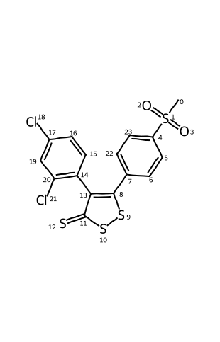 CS(=O)(=O)c1ccc(-c2ssc(=S)c2-c2ccc(Cl)cc2Cl)cc1